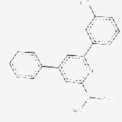 CCCCN(C)c1cc(-c2ccccc2)cc(-c2cccc(O)c2)n1